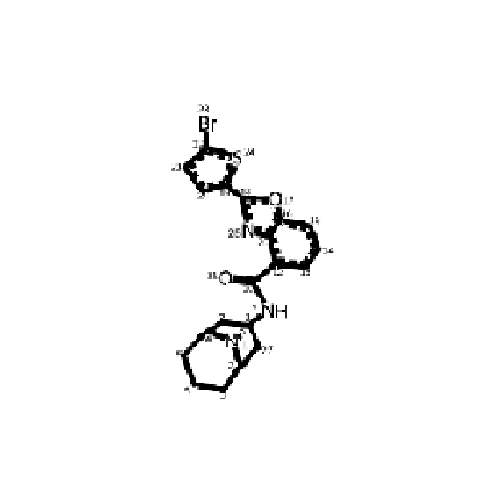 CN1C2CCCC1CC(NC(=O)c1cccc3oc(-c4ccc(Br)s4)nc13)C2